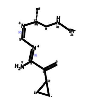 C=C(/C(N)=N/C=N\[C@H](C)CNC(C)C)C1CC1